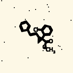 COC(=O)C1(c2ccccc2Cl)CC1/C=C/c1ccccc1